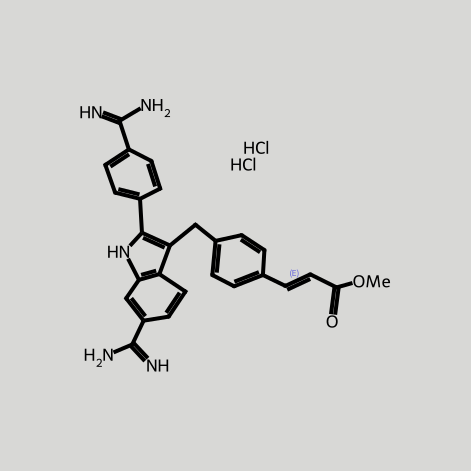 COC(=O)/C=C/c1ccc(Cc2c(-c3ccc(C(=N)N)cc3)[nH]c3cc(C(=N)N)ccc23)cc1.Cl.Cl